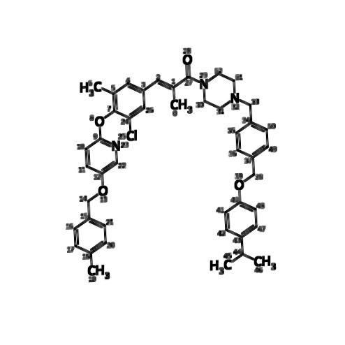 C/C(=C\c1cc(C)c(Oc2ccc(OCc3ccc(C)cc3)cn2)c(Cl)c1)C(=O)N1CCN(Cc2ccc(COc3ccc(C(C)C)cc3)cc2)CC1